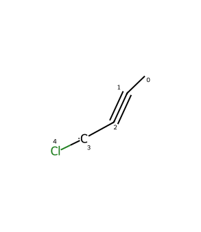 CC#C[CH]Cl